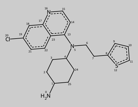 NC1CCC(N(CCc2cccs2)c2ccnc3cc(Cl)ccc23)CC1